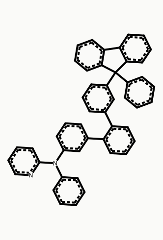 c1ccc(N(c2cccc(-c3ccccc3-c3cccc(C4(c5ccccc5)c5ccccc5-c5ccccc54)c3)c2)c2ccccn2)cc1